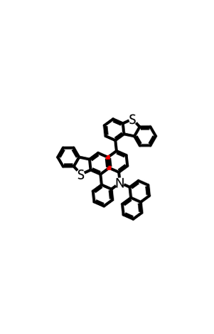 c1ccc(N(c2ccc(-c3cccc4sc5ccccc5c34)cc2)c2cccc3ccccc23)c(-c2cccc3c2sc2ccccc23)c1